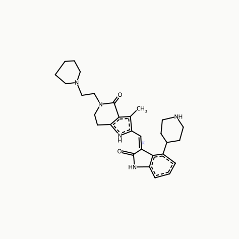 Cc1c(/C=C2\C(=O)Nc3cccc(C4CCNCC4)c32)[nH]c2c1C(=O)N(CCN1CCCCC1)CC2